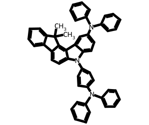 CC1(C)c2ccccc2-c2ccc3c(c21)c1cc(N(c2ccccc2)c2ccccc2)ccc1n3-c1ccc(N(c2ccccc2)c2ccccc2)cc1